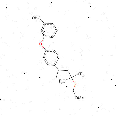 COCOC(CC(C)c1ccc(Oc2cccc(C=O)c2)cc1)(C(F)(F)F)C(F)(F)F